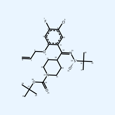 C=CCOc1cc(F)c(Cl)cc1C(=N[S@@+]([O-])C(C)(C)C)C1CCN(C(=O)OC(C)(C)C)CC1